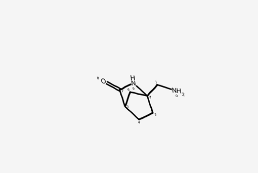 NCC12CCC(C1)C(=O)N2